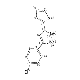 Clc1ccc(C2=CC(c3cccs3)NN2)cc1